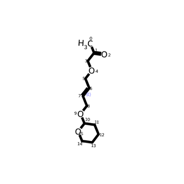 CC(=O)COC/C=C/COC1CCCCO1